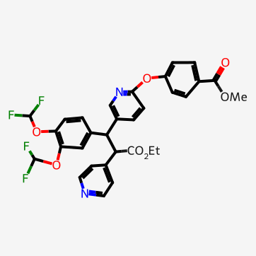 CCOC(=O)C(c1ccncc1)C(c1ccc(Oc2ccc(C(=O)OC)cc2)nc1)c1ccc(OC(F)F)c(OC(F)F)c1